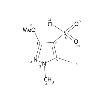 COc1nn(C)c(I)c1S(=O)(=O)Cl